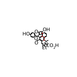 CCN(Cc1cccc2c1C(=O)OC21c2ccc(O)cc2Oc2cc(O)ccc21)N(C(=O)O)C(C)Cc1ccccc1